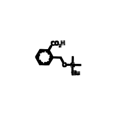 CC(C)(C)[Si](C)(C)OCc1ccccc1C(=O)O